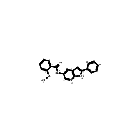 COc1ccccc1C(=O)Nc1cnc2[nH]c(-c3ccccc3)cc2c1